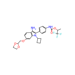 CC(OC(=O)Nc1ccc(-c2c(N)c3ccc(OCC4OCCO4)cc3n2C2CCC2)cc1)C(F)(F)F